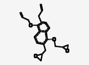 C=CCOc1c(CC=C)ccc2c(OCC3CO3)c(CC3CO3)ccc12